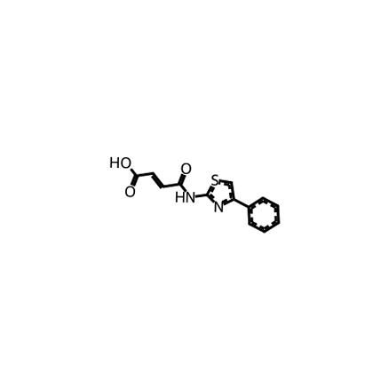 O=C(O)C=CC(=O)Nc1nc(-c2ccccc2)cs1